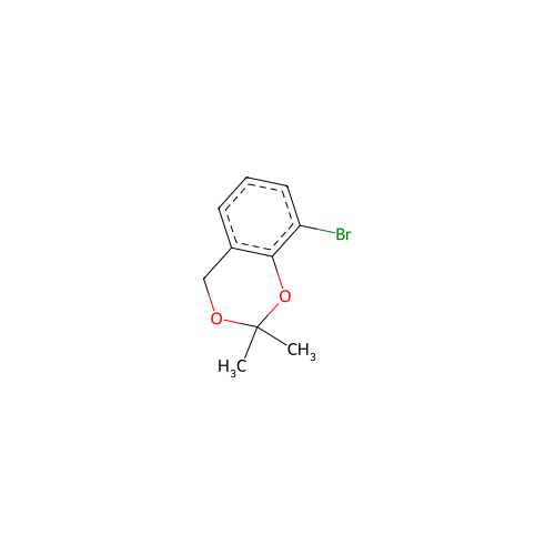 CC1(C)OCc2cccc(Br)c2O1